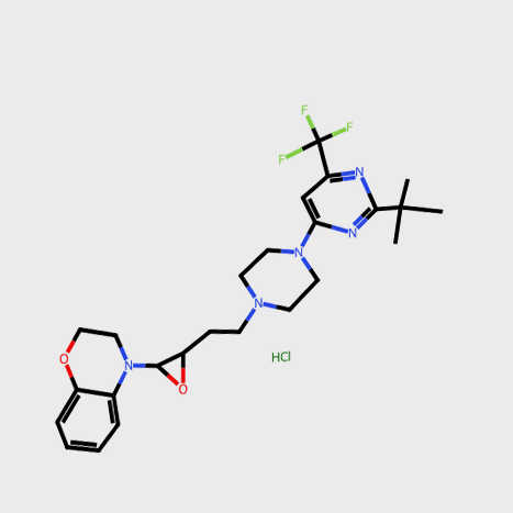 CC(C)(C)c1nc(N2CCN(CCC3OC3N3CCOc4ccccc43)CC2)cc(C(F)(F)F)n1.Cl